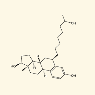 CC(O)CCCCCC[C@@H]1C[C@@H]2[C@H](CC[C@]3(C)[C@@H](O)CC[C@@H]23)c2ccc(O)cc21